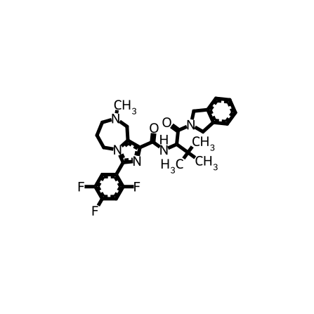 CN1CCCn2c(-c3cc(F)c(F)cc3F)nc(C(=O)NC(C(=O)N3Cc4ccccc4C3)C(C)(C)C)c2C1